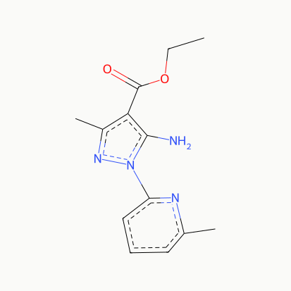 CCOC(=O)c1c(C)nn(-c2cccc(C)n2)c1N